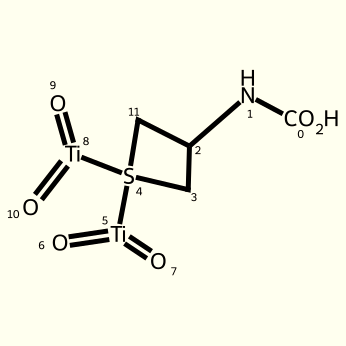 O=C(O)NC1C[S]([Ti](=[O])=[O])([Ti](=[O])=[O])C1